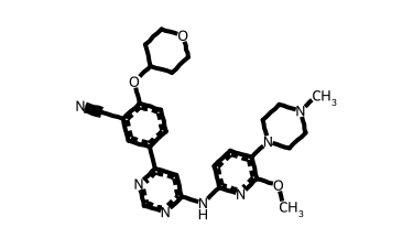 COc1nc(Nc2cc(-c3ccc(OC4CCOCC4)c(C#N)c3)ncn2)ccc1N1CCN(C)CC1